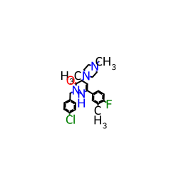 Cc1cc(C2=CC(C)(N3CCN(C)CC3)C(=O)N(Cc3ccc(Cl)cc3)N2)ccc1F